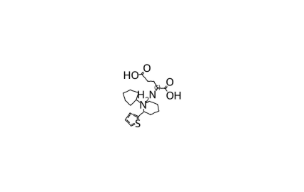 N[C@@H](CCC(=O)O)C(=O)O.c1csc(C2CCCCN2C2CCCCC2)c1